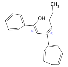 CCC/C=C(\C=C(/O)c1ccccc1)C1=CC=CCC=C1